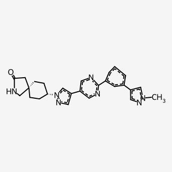 Cn1cc(-c2cccc(-c3ncc(-c4cnn([C@H]5CC[C@]6(CC5)CNC(=O)C6)c4)cn3)c2)cn1